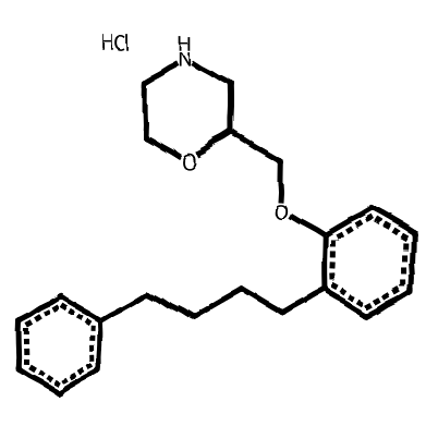 Cl.c1ccc(CCCCc2ccccc2OCC2CNCCO2)cc1